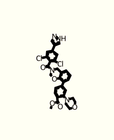 COC(=O)c1ccc(-c2cccc3c2OCN(C(=O)c2c(Cl)cc(-c4cn[nH]c4)cc2Cl)C3)cc1N1CCOCC1